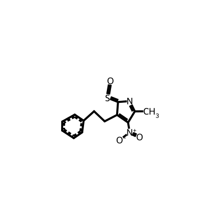 CC1=NC(=S=O)C(CCc2ccccc2)=C1[N+](=O)[O-]